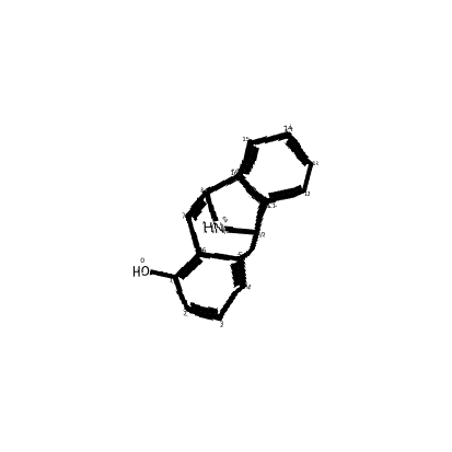 Oc1cccc2c1C=C1NC2c2ccccc21